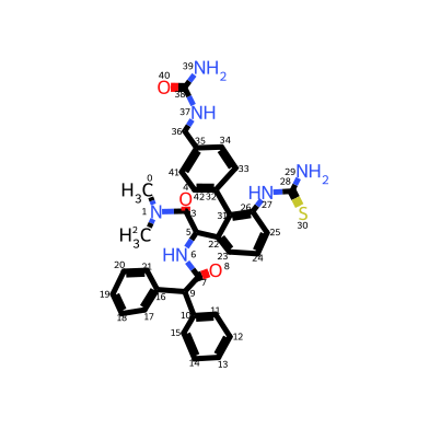 CN(C)C(=O)C(NC(=O)C(c1ccccc1)c1ccccc1)c1cccc(NC(N)=S)c1-c1ccc(CNC(N)=O)cc1